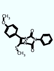 COc1ccc(-c2c(SC)n3c(=O)n(-c4ccccc4)c(=O)n23)cc1